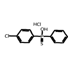 Cl.OP(=S)(c1ccccc1)c1ccc(Cl)cc1